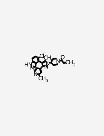 C=CC(=O)N1CCC(n2nc(-c3ccnc(C)c3)c(-c3c(Cl)ccc4[nH]ncc34)c2C)CC1